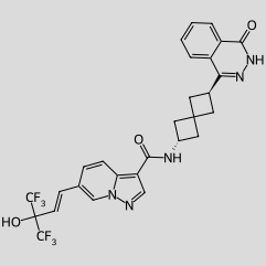 O=C(N[C@H]1CC2(C1)C[C@H](c1n[nH]c(=O)c3ccccc31)C2)c1cnn2cc(/C=C/C(O)(C(F)(F)F)C(F)(F)F)ccc12